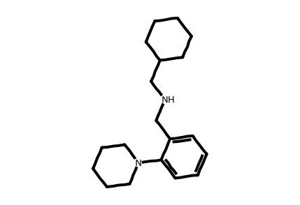 c1ccc(N2CCCCC2)c(CNCC2CCCCC2)c1